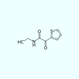 [CH]CNC(=O)C(=O)c1cccs1